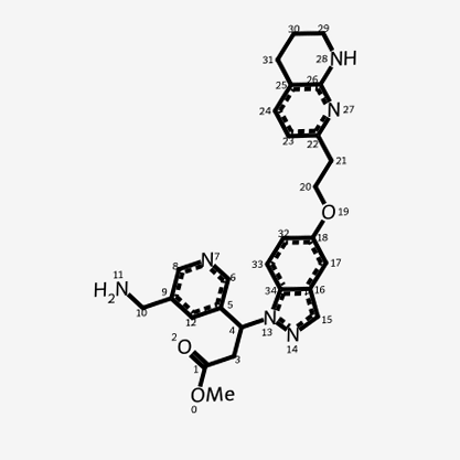 COC(=O)CC(c1cncc(CN)c1)n1ncc2cc(OCCc3ccc4c(n3)NCCC4)ccc21